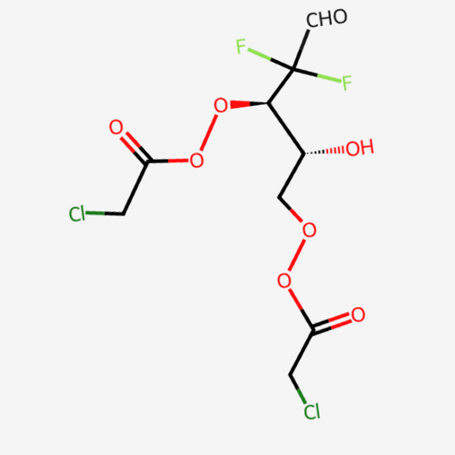 O=CC(F)(F)[C@H](OOC(=O)CCl)[C@H](O)COOC(=O)CCl